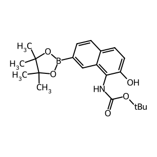 CC(C)(C)OC(=O)Nc1c(O)ccc2ccc(B3OC(C)(C)C(C)(C)O3)cc12